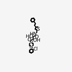 O=C(NCc1cc(/C=C/c2ccccc2)cs1)[C@H](O)[C@@H](O)C(=O)N1CCN(c2ccccc2Cl)CC1